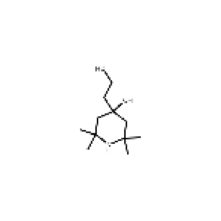 CC1(C)CC(O)(CCO)CC(C)(C)N1